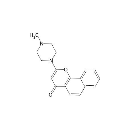 CN1CCN(c2cc(=O)c3ccc4ccccc4c3o2)CC1